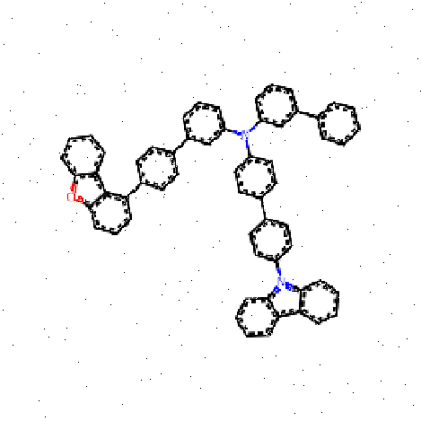 c1ccc(-c2cccc(N(c3ccc(-c4ccc(-n5c6ccccc6c6ccccc65)cc4)cc3)c3cccc(-c4ccc(-c5cccc6oc7ccccc7c56)cc4)c3)c2)cc1